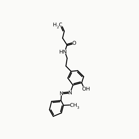 C=CCC(=O)NCCc1ccc(O)c(N=Nc2ccccc2C)c1